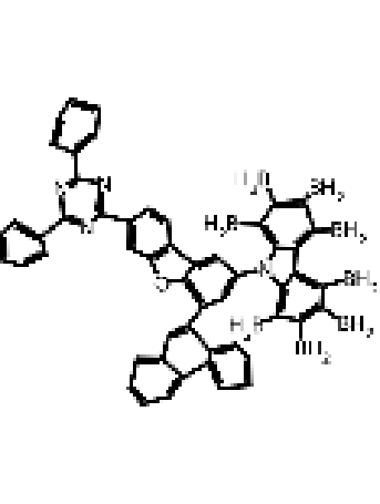 Bc1c(B)c(B)c2c(c1B)c1c(B)c(B)c(B)c(B)c1n2-c1cc(-c2cc3ccccc3c3ccccc23)c2oc3cc(-c4nc(-c5ccccc5)nc(-c5ccccc5)n4)ccc3c2c1